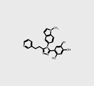 CC(C)c1cc(-c2nnc(CCc3cccnc3)n2-c2ccc3c(ccn3C)c2)c(O)cc1O